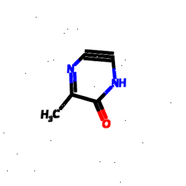 Cc1nc#c[nH]c1=O